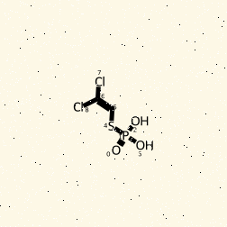 O=P(O)(O)SC=C(Cl)Cl